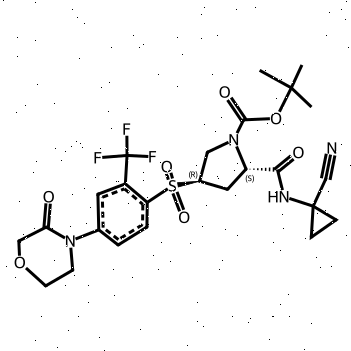 CC(C)(C)OC(=O)N1C[C@H](S(=O)(=O)c2ccc(N3CCOCC3=O)cc2C(F)(F)F)C[C@H]1C(=O)NC1(C#N)CC1